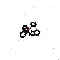 CC1(c2cccc3ccccc23)C=c2ccccc2=[C]1[Zr]([c]1ccccc1)[c]1ccccc1